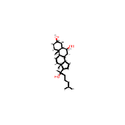 CC(C)CCCC(C)(O)C1CCC2C3CC(O)C4CC(O)CCC4(C)C3CCC21C